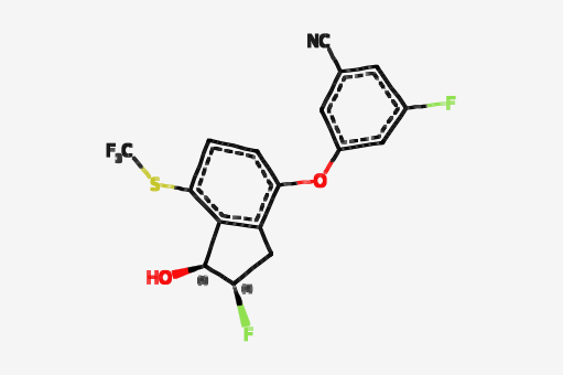 N#Cc1cc(F)cc(Oc2ccc(SC(F)(F)F)c3c2C[C@@H](F)[C@H]3O)c1